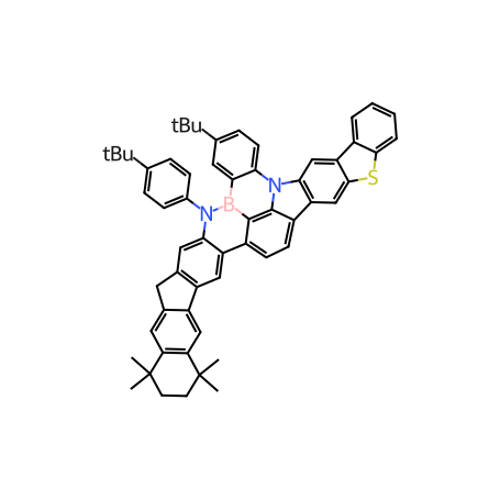 CC(C)(C)c1ccc(N2B3c4cc(C(C)(C)C)ccc4-n4c5cc6c(cc5c5ccc(c3c54)-c3cc4c(cc32)Cc2cc3c(cc2-4)C(C)(C)CCC3(C)C)sc2ccccc26)cc1